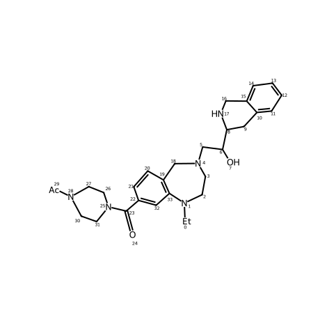 CCN1CCN(CC(O)C2Cc3ccccc3CN2)Cc2ccc(C(=O)N3CCN(C(C)=O)CC3)cc21